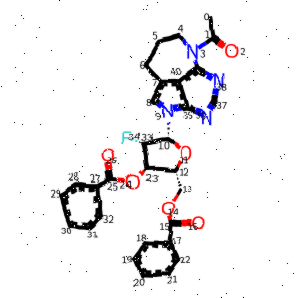 CC(=O)N1CCCc2cn([C@@H]3O[C@H](COC(=O)c4ccccc4)[C@@H](OC(=O)c4ccccc4)[C@@H]3F)c3ncnc1c23